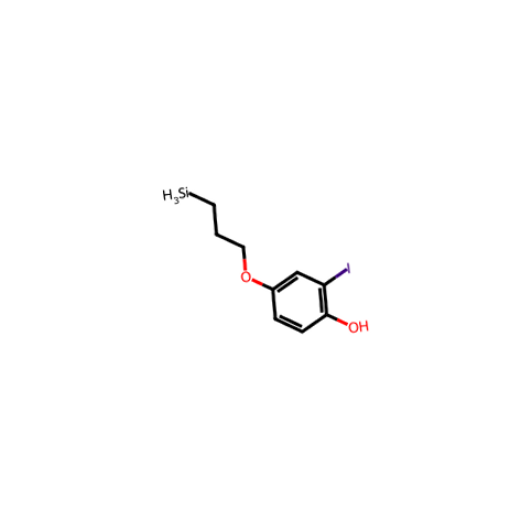 Oc1ccc(OCCC[SiH3])cc1I